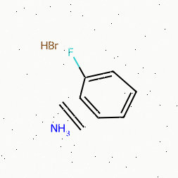 Br.C=C.Fc1ccccc1.N